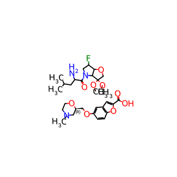 CN1CCO[C@@H](COc2ccc3oc(C(=O)O)cc3c2)C1.COC1(OC)COC2C(F)CN(C(=O)C(N)CC(C)C)C21